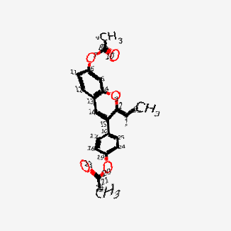 CCC1Oc2cc(OC(C)=O)ccc2C=C1c1ccc(OC(C)=O)cc1